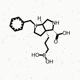 O=C(O)[C@H]1NC[C@@H]2N(Cc3ccccc3)CC[C@]12CCCB(O)O